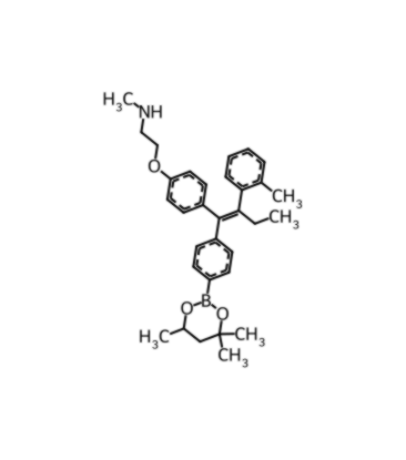 CC/C(=C(/c1ccc(OCCNC)cc1)c1ccc(B2OC(C)CC(C)(C)O2)cc1)c1ccccc1C